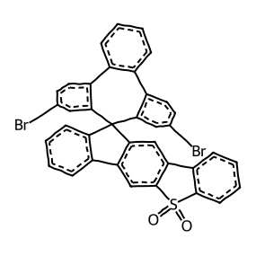 O=S1(=O)c2ccccc2-c2cc3c(cc21)-c1ccccc1C31c2cc(Br)ccc2-c2ccccc2-c2ccc(Br)cc21